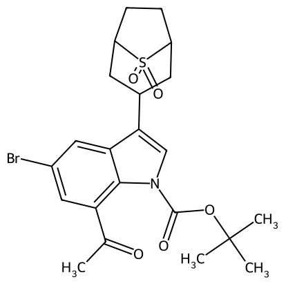 CC(=O)c1cc(Br)cc2c(C3CC4CCC(C3)S4(=O)=O)cn(C(=O)OC(C)(C)C)c12